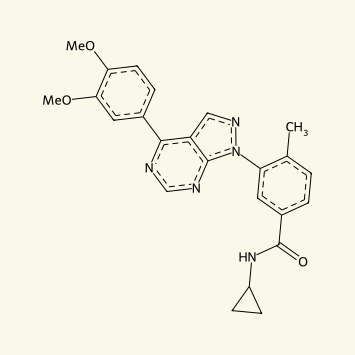 COc1ccc(-c2ncnc3c2cnn3-c2cc(C(=O)NC3CC3)ccc2C)cc1OC